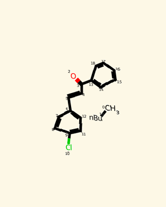 CCCCC.O=C(C=Cc1ccc(Cl)cc1)c1ccccc1